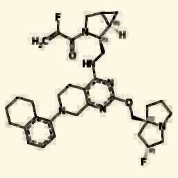 C=C(F)C(=O)N1CC2C[C@H]2[C@H]1CNc1nc(OC[C@@]23CCCN2C[C@H](F)C3)nc2c1CCN(c1cccc3c1CCCC3)C2